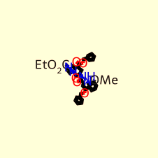 CCOC(=O)N1CCN(C(=O)C(CCC(=O)OCc2ccccc2)NC(=O)c2cc(OCc3ccccc3)c3cccc(OC)c3n2)CC1